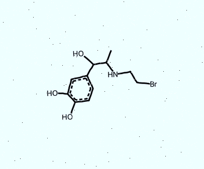 CC(NCCBr)C(O)c1ccc(O)c(O)c1